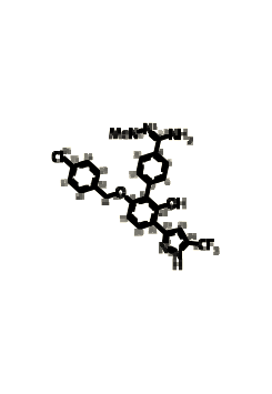 CN/N=C(/N)c1ccc(-c2c(OCc3ccc(Cl)cc3)ccc(-c3cc(C(F)(F)F)[nH]n3)c2O)cc1